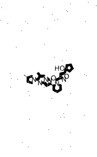 Cc1cn2nc([C@@H]3CCCCN3C(=O)c3cc(C4(O)CCCC4)on3)cc2nc1N1CC[C@H](C)C1